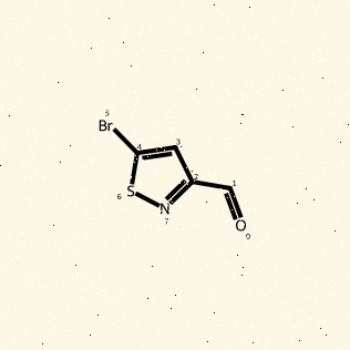 O=Cc1cc(Br)sn1